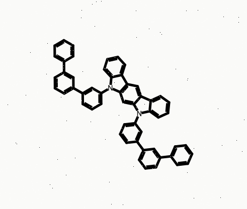 c1ccc(-c2cccc(-c3cccc(-n4c5ccccc5c5cc6c7ccccc7n(-c7cccc(-c8cccc(-c9ccccc9)c8)c7)c6cc54)c3)c2)cc1